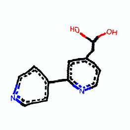 OC(O)c1ccnc(-c2ccncc2)c1